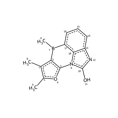 CB1c2c(oc(C)c2C)-n2c(O)nc3cccc1c32